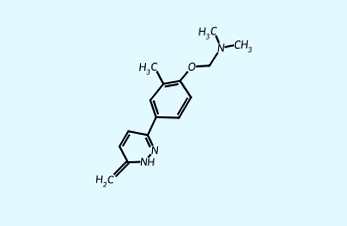 C=C1C=CC(c2ccc(OCN(C)C)c(C)c2)=NN1